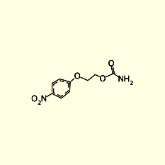 NC(=O)OCCOc1ccc([N+](=O)[O-])cc1